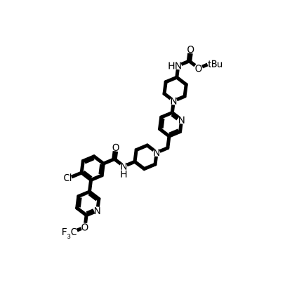 CC(C)(C)OC(=O)NC1CCN(c2ccc(CN3CCC(NC(=O)c4ccc(Cl)c(-c5ccc(OC(F)(F)F)nc5)c4)CC3)cn2)CC1